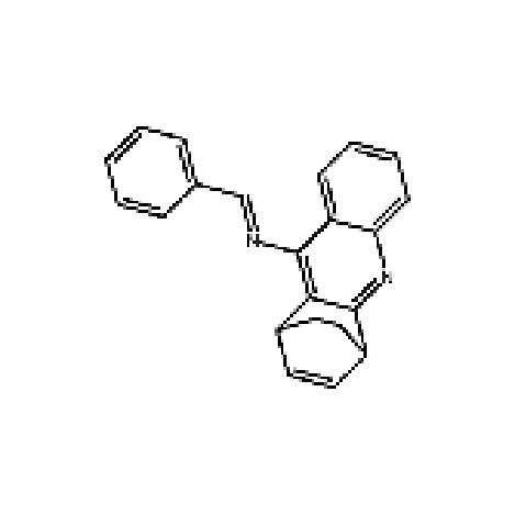 C1=CC2CCC1c1nc3ccccc3c(N=Cc3ccccc3)c12